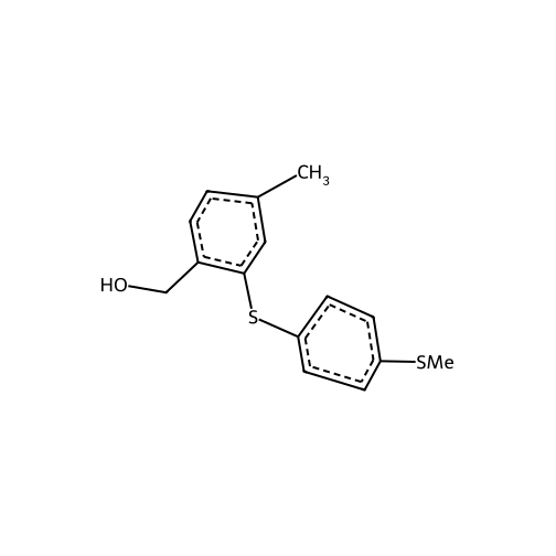 CSc1ccc(Sc2cc(C)ccc2CO)cc1